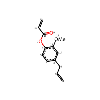 C=CCc1ccc(OC(=O)C=C)c(OC)c1